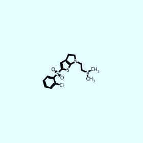 CN(C)CCN1CCc2cc(S(=O)(=O)c3ccccc3Cl)sc21